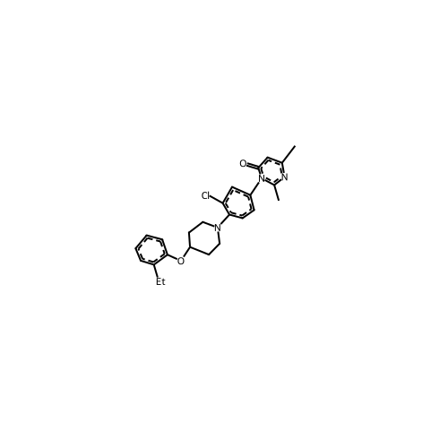 CCc1ccccc1OC1CCN(c2ccc(-n3c(C)nc(C)cc3=O)cc2Cl)CC1